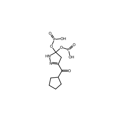 O=C(C1=NNC(O[P](=O)O)(O[P](=O)O)C1)C1CCCC1